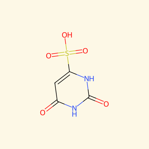 O=c1cc(S(=O)(=O)O)[nH]c(=O)[nH]1